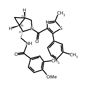 COc1ccc(C(=O)NC[C@@H]2[C@@H]3C[C@@H]3CN2C(=O)c2nc(C)sc2-c2cccc(C)c2)cc1C